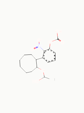 CC(O)OC1CCCCCCC1c1cccc(OC(=O)O)c1[N+](=O)[O-]